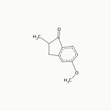 [CH2]C1Cc2cc(OC)ccc2C1=O